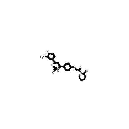 CCC1CCCCN1C(=O)COc1ccc(-c2cc(-c3ccc(O)c(C)c3)nc(=O)[nH]2)cc1